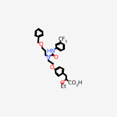 CCOC(Cc1ccc(OCCN(CCCOCc2ccccc2)C(=O)Nc2cccc(C(F)(F)F)c2)cc1)C(=O)O